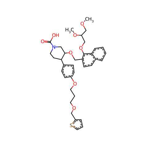 COCC(COc1c(COC2CN(C(=O)O)CCC2c2ccc(OCCCOCc3cccs3)cc2)ccc2ccccc12)OC